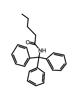 CCCCC(=O)NC(c1ccccc1)(c1ccccc1)c1ccccc1